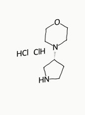 C1C[C@@H](N2CCOCC2)CN1.Cl.Cl